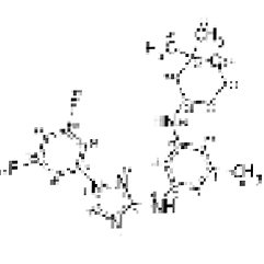 Cc1cc(Nc2ncn(-c3cc(F)cc(F)c3)n2)cc(NC2CCOC(C)(C)C2)c1